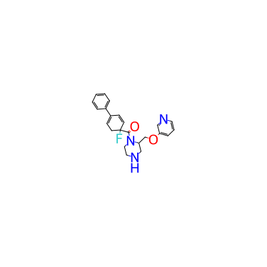 O=C(N1CCNCC1COc1cccnc1)C1(F)C=CC(c2ccccc2)=CC1